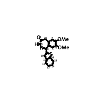 COc1cc2c(cc1OC)C(c1cc3ccccc3s1)=NNC(=O)C2